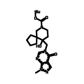 Cn1ncc2c(=O)n(CC3(O)CCN(C(=O)OC(C)(C)C)CC34CCCC4)cnc21